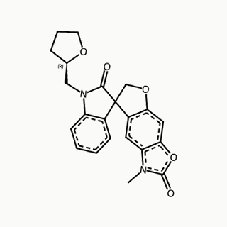 Cn1c(=O)oc2cc3c(cc21)C1(CO3)C(=O)N(C[C@H]2CCCO2)c2ccccc21